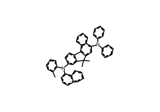 Cc1ccccc1N(c1ccc2c(c1)C(C)(C)c1cc(N(c3ccccc3)c3ccccc3)c3ccccc3c1-2)c1cccc2ccccc12